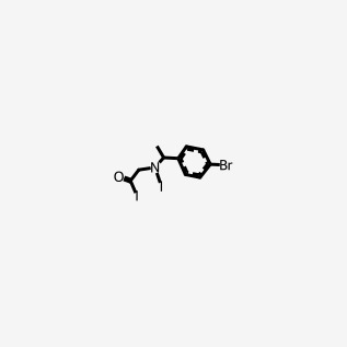 CC(c1ccc(Br)cc1)N(I)CC(=O)I